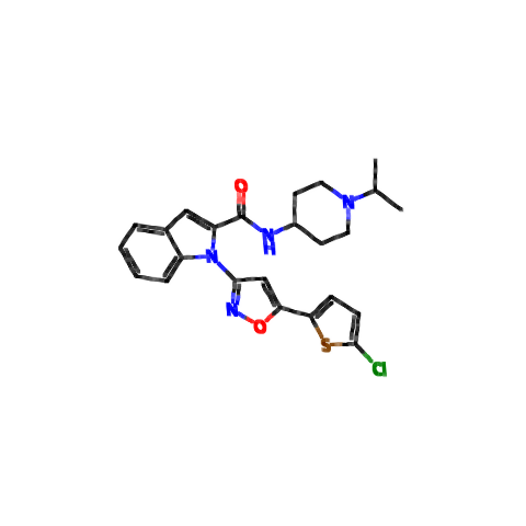 CC(C)N1CCC(NC(=O)c2cc3ccccc3n2-c2cc(-c3ccc(Cl)s3)on2)CC1